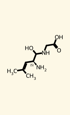 CC(C)=C[C@H](N)C(O)NCC(=O)O